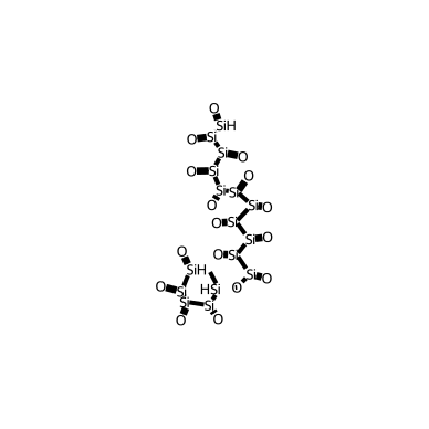 C[SiH](O[Si](=O)[Si](=O)[Si](=O)[Si](=O)[Si](=O)[Si](=O)[Si](=O)[Si](=O)[Si](=O)[Si](=O)[SiH]=O)[Si](=O)[Si](=O)[Si](=O)[SiH]=O